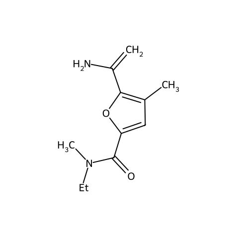 C=C(N)c1oc(C(=O)N(C)CC)cc1C